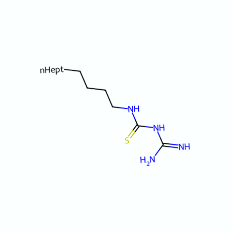 CCCCCCCCCCCNC(=S)NC(=N)N